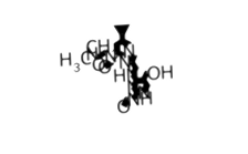 CN(C)C(=O)CN(C=O)c1cc(C2CC2)cn2cc(CNc3nc(NC=O)ncc3CO)nc12